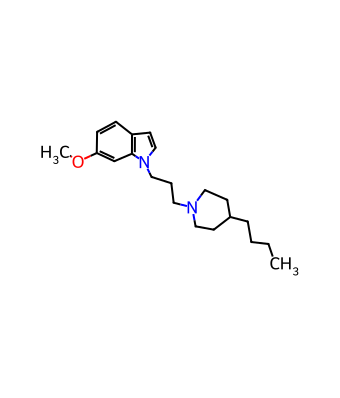 CCCCC1CCN(CCCn2ccc3ccc(OC)cc32)CC1